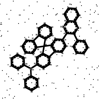 c1ccc(-c2nc3ccccc3nc2-c2ccc3c(c2)C2(c4ccccc4-c4ccccc42)c2cc(N(c4ccccc4)c4ccccc4)ccc2-3)cc1